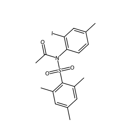 CC(=O)N(c1ccc(C)cc1I)S(=O)(=O)c1c(C)cc(C)cc1C